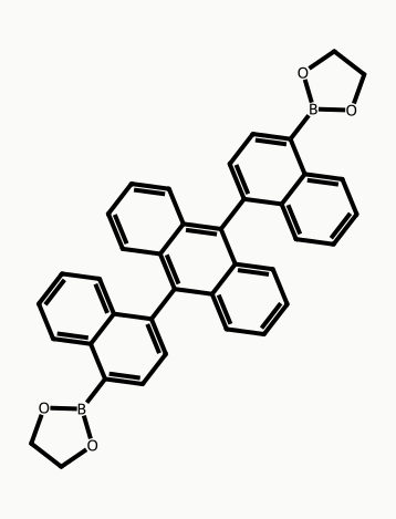 c1ccc2c(-c3c4ccccc4c(-c4ccc(B5OCCO5)c5ccccc45)c4ccccc34)ccc(B3OCCO3)c2c1